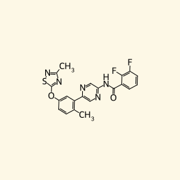 Cc1nsc(Oc2ccc(C)c(-c3cnc(NC(=O)c4cccc(F)c4F)cn3)c2)n1